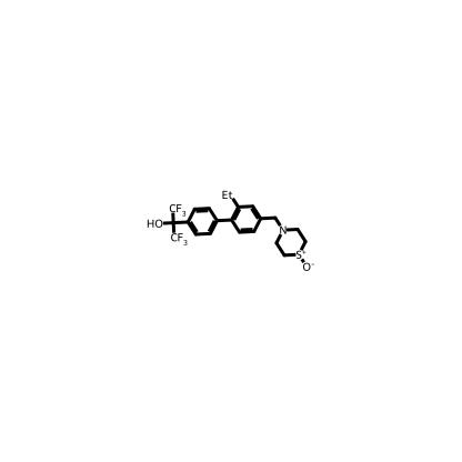 CCc1cc(CN2CC[S+]([O-])CC2)ccc1-c1ccc(C(O)(C(F)(F)F)C(F)(F)F)cc1